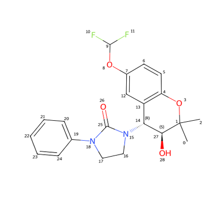 CC1(C)Oc2ccc(OC(F)F)cc2[C@@H](N2CCN(c3ccccc3)C2=O)[C@@H]1O